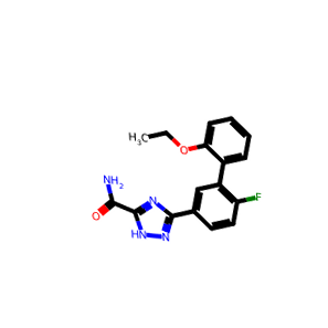 CCOc1ccccc1-c1cc(-c2n[nH]c(C(N)=O)n2)ccc1F